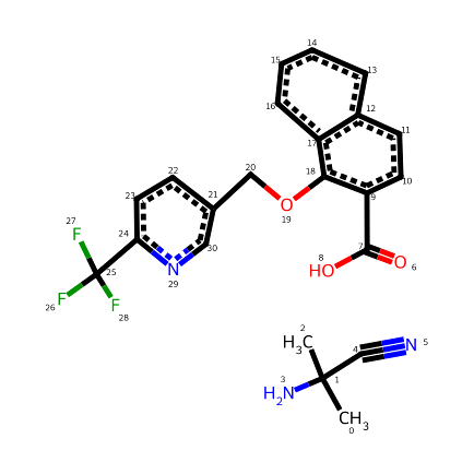 CC(C)(N)C#N.O=C(O)c1ccc2ccccc2c1OCc1ccc(C(F)(F)F)nc1